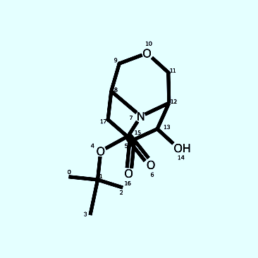 CC(C)(C)OC(=O)N1C2COCC1C(O)C(=O)C2